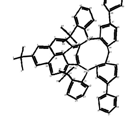 CC(C)(C)c1cc2ccc3c4cc(c5ccc(c1)c2c35)N(c1ccccc1C(C)(C)C)c1cc(-c2ccccc2)ccc1Cc1ccc(-c2ccccc2)cc1N4c1ccccc1C(C)(C)C